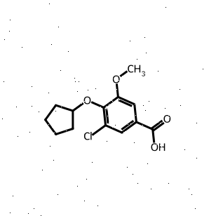 COc1cc(C(=O)O)cc(Cl)c1OC1CCCC1